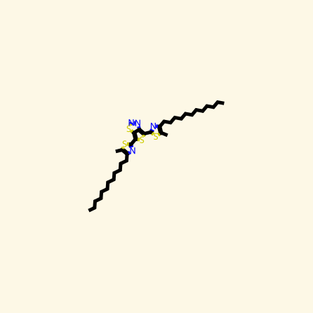 CCCCCCCCCCCCc1nc(-c2sc(-c3nc(CCCCCCCCCCCC)c(C)s3)c3snnc23)sc1C